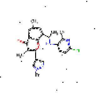 Cc1cc([C@@H](C)Nc2ccc(Cl)nc2C#N)c2oc(-c3cnn(C(C)C)c3)c(C)c(=O)c2c1